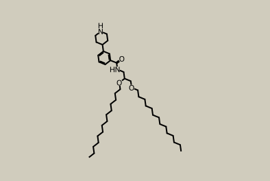 CCCCCCCCCCCCCCOCC(CNC(=O)c1cccc(C2CCNCC2)c1)OCCCCCCCCCCCCCC